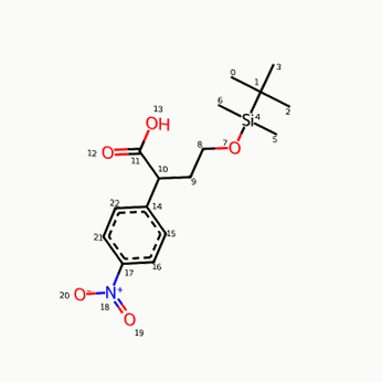 CC(C)(C)[Si](C)(C)OCCC(C(=O)O)c1ccc([N+](=O)[O-])cc1